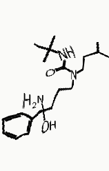 CC(C)CCN(CCCC(N)(O)c1ccccc1)C(=O)NC(C)(C)C